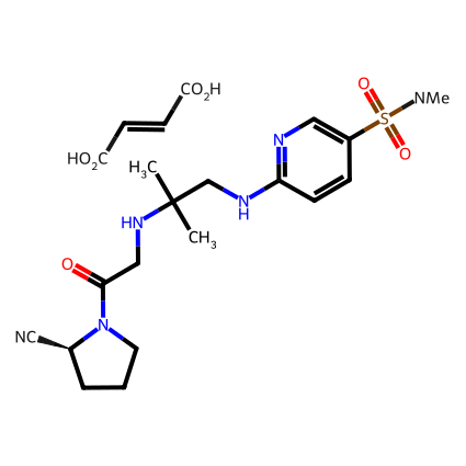 CNS(=O)(=O)c1ccc(NCC(C)(C)NCC(=O)N2CCC[C@H]2C#N)nc1.O=C(O)/C=C/C(=O)O